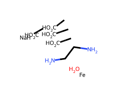 CC(=O)O.CC(=O)O.CC(=O)O.CC(=O)O.NCCN.O.[Fe].[NaH]